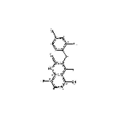 Cc1c(Cc2ccc(Cl)cc2F)c(=O)[nH]c2c(F)ccc(O)c12